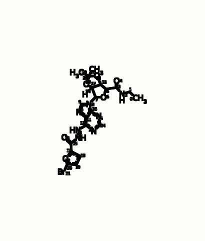 CCNC(=O)C1OC(n2cnc3c(NNC(=O)c4ccc(Br)o4)ncnc32)[C@@H]2OC(C)(C)OC12